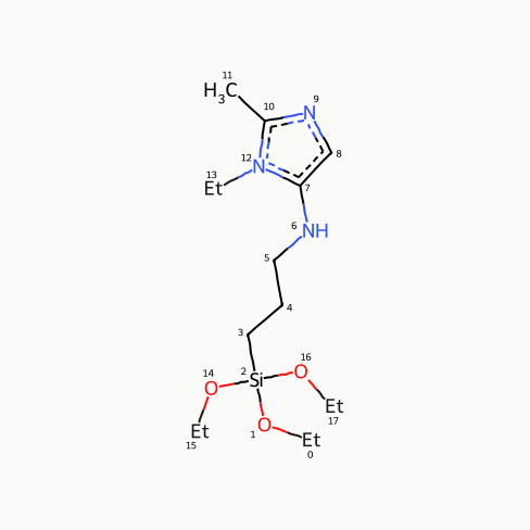 CCO[Si](CCCNc1cnc(C)n1CC)(OCC)OCC